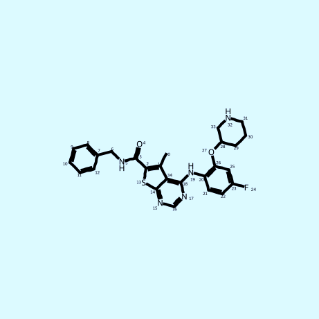 Cc1c(C(=O)NCc2ccccc2)sc2ncnc(Nc3ccc(F)cc3OC3CCCNC3)c12